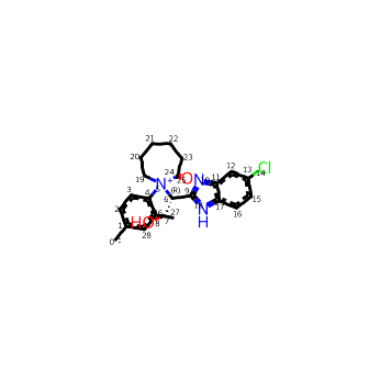 [CH]c1ccc([N+]2([C@@H](CO)c3nc4cc(Cl)ccc4[nH]3)CCCCCC2=O)c(C)c1